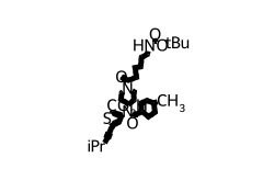 CC(C)C#Cc1cc(N(C(=O)C2CCC(C)CC2)C2CCN(C(=O)CCCCCNC(=O)OC(C)(C)C)CC2)c(C(=O)O)s1